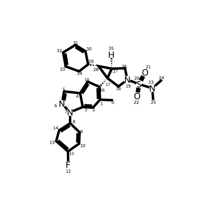 Cc1cc2c(cnn2-c2ccc(F)cc2)cc1[C@@]12CN(S(=O)(=O)N(C)C)C[C@@H]1[C@H]2C1C=CC=CC1